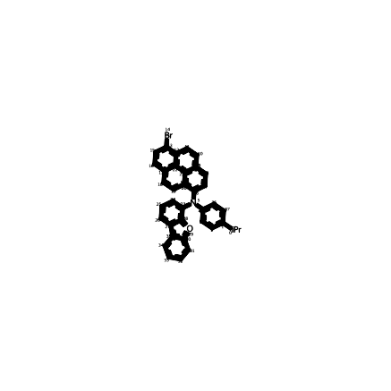 CC(C)c1ccc(N(c2ccc3ccc4c(Br)ccc5ccc2c3c54)c2cccc3c2oc2ccccc23)cc1